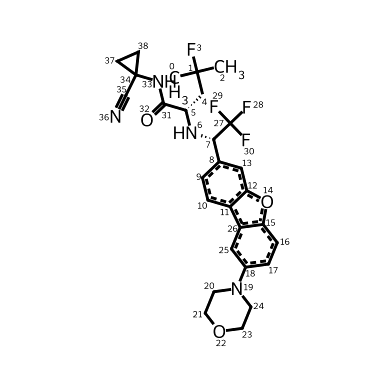 CC(C)(F)C[C@H](N[C@@H](c1ccc2c(c1)oc1ccc(N3CCOCC3)cc12)C(F)(F)F)C(=O)NC1(C#N)CC1